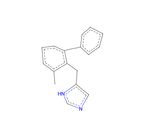 Cc1cccc(-c2ccccc2)c1Cc1cnc[nH]1